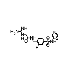 N=C(N)NCC(=O)NCc1ccc(S(=O)(=O)Nc2cncs2)cc1F